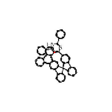 C1=C(c2ccc3c(c2)C2(c4ccccc4-3)c3ccccc3-c3cc4c5ccccc5c5ccccc5c4cc32)N=C(c2ccccc2)NC1c1ccccc1